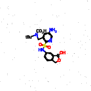 CC(C)(C)N(Cc1cc(N)cnc1S(=O)(=O)Nc1ccc2c(c1)B(O)OC2)C(=O)O